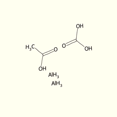 CC(=O)O.O=C(O)O.[AlH3].[AlH3]